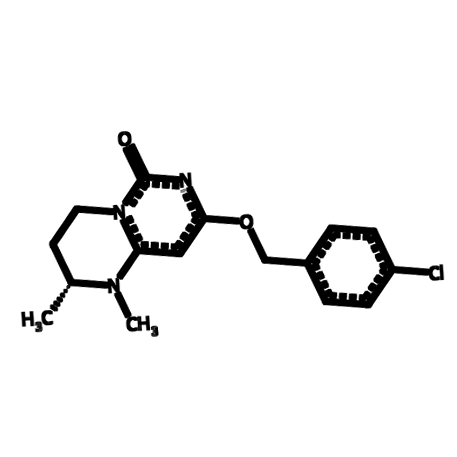 C[C@@H]1CCn2c(cc(OCc3ccc(Cl)cc3)nc2=O)N1C